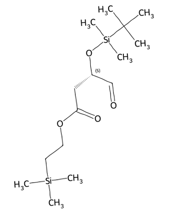 CC(C)(C)[Si](C)(C)O[C@H](C=O)CC(=O)OCC[Si](C)(C)C